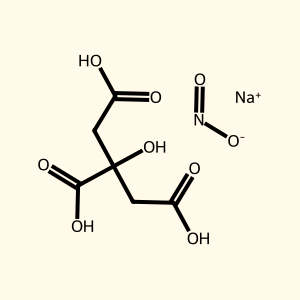 O=C(O)CC(O)(CC(=O)O)C(=O)O.O=N[O-].[Na+]